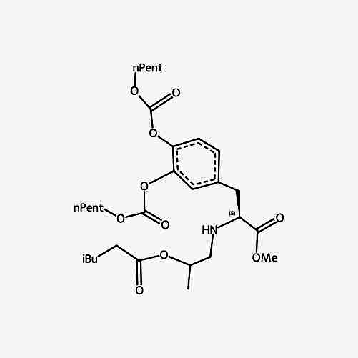 CCCCCOC(=O)Oc1ccc(C[C@H](NCC(C)OC(=O)CC(C)CC)C(=O)OC)cc1OC(=O)OCCCCC